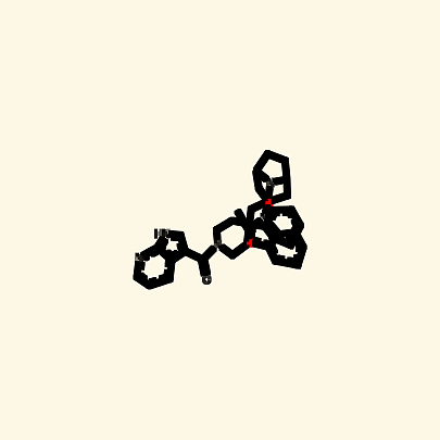 Cc1nc2ccccc2n1C1CC2CCC(C1)N2CCC1(c2ccccc2)CCN(C(=O)c2c[nH]c3ncccc23)CC1